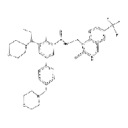 CCN(c1cc(-c2ccc(CN3CCOCC3)cc2)cc(C(=O)NCc2c(=O)[nH]cc3cc(C(F)(F)F)ccc23)c1C)C1CCOCC1